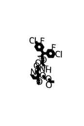 COc1ccnc(C(=O)N[C@@H](C)C(=O)O[C@@H](C)C(c2ccc(Cl)c(F)c2)c2ccc(Cl)c(F)c2)c1OCOC(C)=O